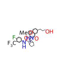 COc1ccc(CCCO)cc1C(=O)NC1C2CCC(/C2=C/C2CCCOC2)C1C(=O)Nc1ccc(F)c(C(F)(F)F)c1